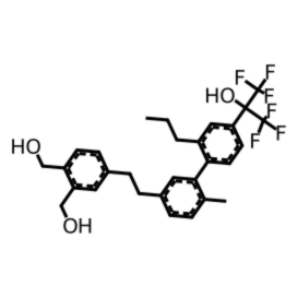 CCCc1cc(C(O)(C(F)(F)F)C(F)(F)F)ccc1-c1cc(CCc2ccc(CO)c(CO)c2)ccc1C